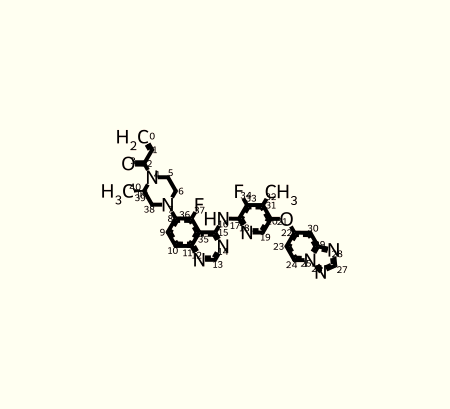 C=CC(=O)N1CCN(c2ccc3ncnc(Nc4ncc(Oc5ccn6ncnc6c5)c(C)c4F)c3c2F)C[C@H]1C